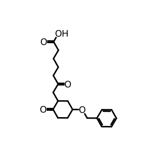 O=C(O)CCCCC(=O)CC1CC(OCc2ccccc2)CCC1=O